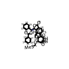 CSCO[C@@H]1[C@@]2(C(C)C)O[C@H]2[C@@H]2O[C@@]23[C@@]2(C)CCC4=C(/C(=C(\OC(=O)c5ccccc5)c5ccccc5)OC4=O)[C@@H]2C2C[C@@]13O2